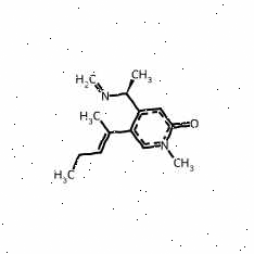 C=N[C@@H](C)c1cc(=O)n(C)cc1/C(C)=C/CC